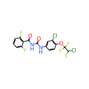 O=C(NC(=O)c1c(F)cccc1F)Nc1ccc(OC(F)(F)C(F)Cl)c(Cl)c1